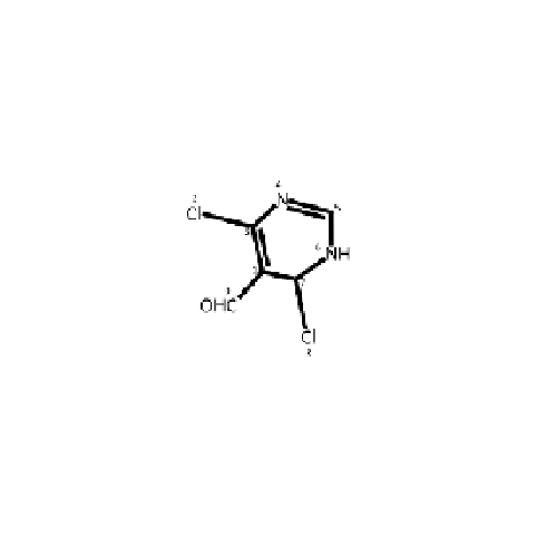 O=CC1=C(Cl)N=CNC1Cl